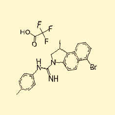 Cc1ccc(NC(=N)N2CC(C)c3c2ccc2c(Br)cccc32)cc1.O=C(O)C(F)(F)F